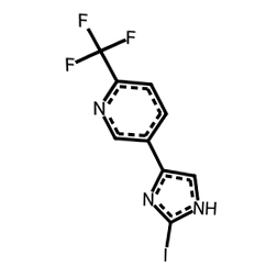 FC(F)(F)c1ccc(-c2c[nH]c(I)n2)cn1